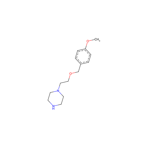 COc1ccc(COCCN2CCNCC2)cc1